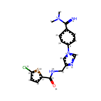 CN(C)C(=N)c1ccc(-n2cnc(CNC(=O)c3ccc(Cl)s3)c2)cc1